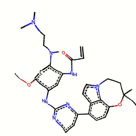 C=CC(=O)Nc1cc(Nc2nccc(-c3ccc4c5c3ccn5CCC(C)(C)O4)n2)c(OC)cc1N(C)CCN(C)C